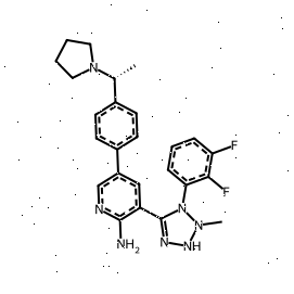 C[C@H](c1ccc(-c2cnc(N)c(C3=NNN(C)N3c3cccc(F)c3F)c2)cc1)N1CCCC1